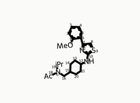 COc1ccccc1-c1csc(NC2CCC(CN(C(C)=O)C(C)C)CC2)n1